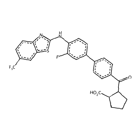 O=C(O)C1CCCC1C(=O)c1ccc(-c2ccc(Nc3nc4ccc(C(F)(F)F)cc4s3)c(F)c2)cc1